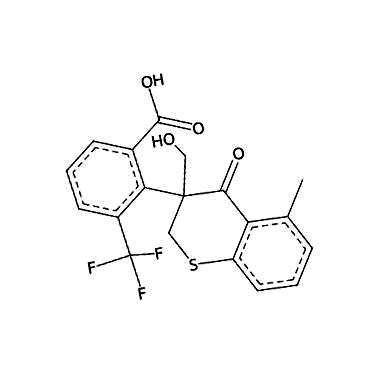 Cc1cccc2c1C(=O)C(CO)(c1c(C(=O)O)cccc1C(F)(F)F)CS2